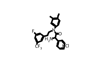 Cc1ccc(N(CCc2cc(F)cc(C(F)(F)F)c2)C(=O)C(N)c2ccccc2)cc1C.Cl